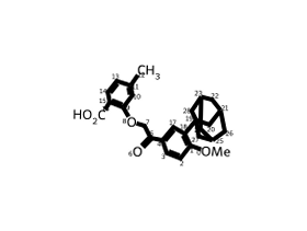 COc1ccc(C(=O)COc2cc(C)ccc2C(=O)O)cc1C12CC3CC(CC(C3)C1)C2